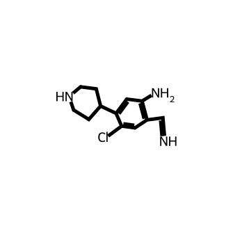 N=Cc1cc(Cl)c(C2CCNCC2)cc1N